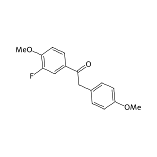 COc1ccc(CC(=O)c2ccc(OC)c(F)c2)cc1